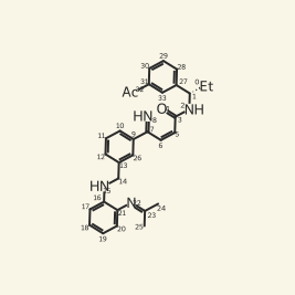 CC[C@H](NC(=O)/C=C\C(=N)c1cccc(CNc2ccccc2N=C(C)C)c1)c1cccc(C(C)=O)c1